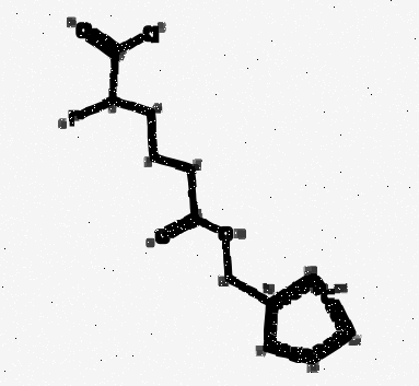 O=C(CCCC(F)C(=O)Cl)OCc1ccccc1